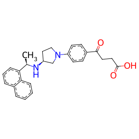 C[C@@H](N[C@H]1CCN(c2ccc(C(=O)CCC(=O)O)cc2)C1)c1cccc2ccccc12